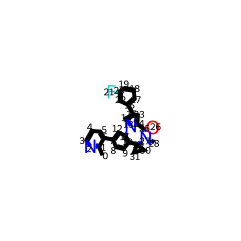 Cc1ncccc1-c1ccc2c(c1)-n1cc(-c3cccc(F)c3)cc1C(=O)N(C)C21CC1